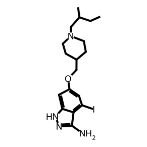 CCC(C)CN1CCC(COc2cc(I)c3c(N)n[nH]c3c2)CC1